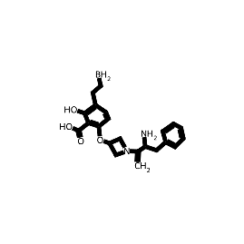 BCCc1ccc(OC2CN(C(=C)C(N)Cc3ccccc3)C2)c(C(=O)O)c1O